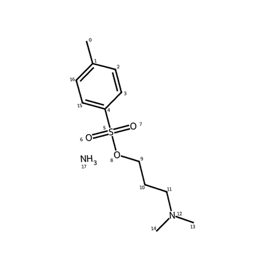 Cc1ccc(S(=O)(=O)OCCCN(C)C)cc1.N